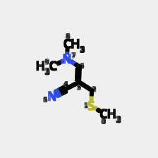 CSC/C(C#N)=C/N(C)C